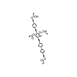 C=CC(=C)OCOc1c(F)c(C#Cc2ccc(-c3ccc(C#COC(=O)C=C)cc3)cc2)cc(OC(=O)C=C)c1C#Cc1ccc(C#COC(O)C=C)cc1